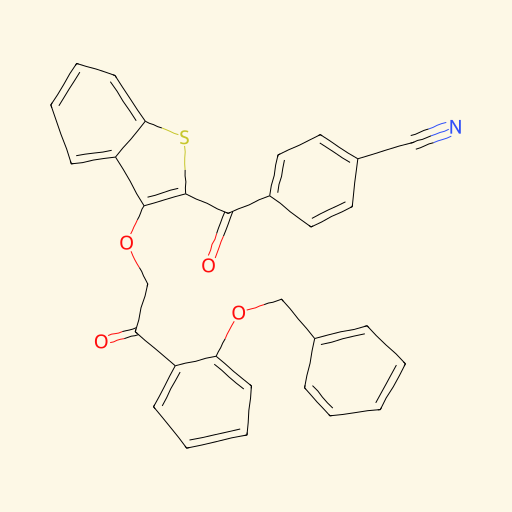 N#Cc1ccc(C(=O)c2sc3ccccc3c2OCC(=O)c2ccccc2OCc2ccccc2)cc1